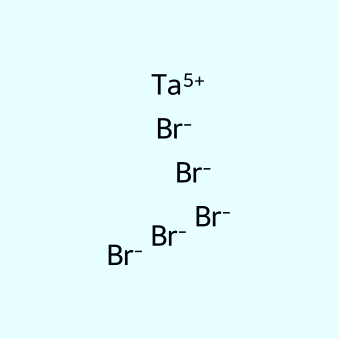 [Br-].[Br-].[Br-].[Br-].[Br-].[Ta+5]